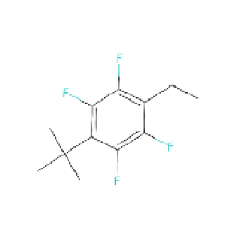 CCc1c(F)c(F)c(C(C)(C)C)c(F)c1F